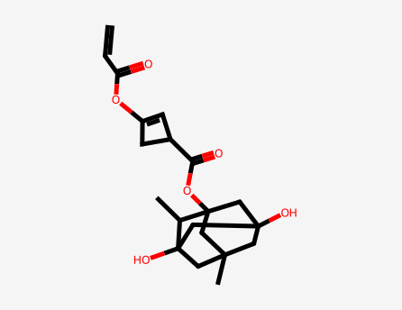 C=CC(=O)OC1=CC(C(=O)OC23CC4(C)CC(O)(CC(O)(C4)C2C)C3)C1